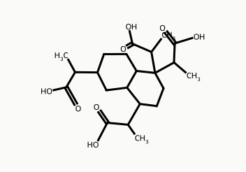 CC(C(=O)O)C1CCC2C(C1)C(C(C)C(=O)O)CCC2(C(C)C(=O)O)C(C)C(=O)O